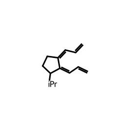 C=C/C=C1/CCC(C(C)C)/C1=C/C=C